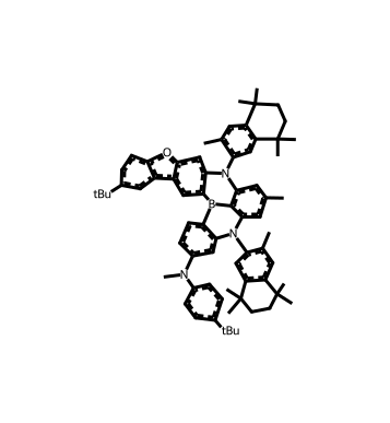 Cc1cc2c3c(c1)N(c1cc4c(cc1C)C(C)(C)CCC4(C)C)c1cc4oc5ccc(C(C)(C)C)cc5c4cc1B3c1ccc(N(C)c3ccc(C(C)(C)C)cc3)cc1N2c1cc2c(cc1C)C(C)(C)CCC2(C)C